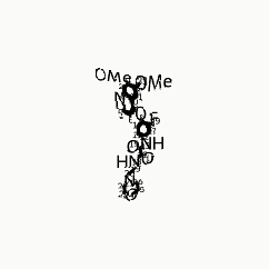 COc1cc2nccc(Oc3ccc(NC(=O)C(=O)NCCN4CCOCC4)cc3F)c2cc1OC